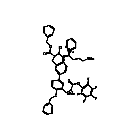 CCN(C(=O)[C@@H](N)CCCNC)[C@@H](Cc1cc(-c2ccc(OCc3ccccc3)c(C[C@H](NC)C(=O)Oc3c(F)c(F)c(F)c(F)c3F)c2)ccc1OCc1ccccc1)C(=O)OCc1ccccc1